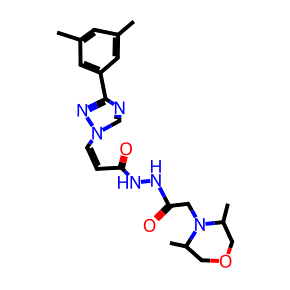 Cc1cc(C)cc(-c2ncn(/C=C\C(=O)NNC(=O)CN3C(C)COCC3C)n2)c1